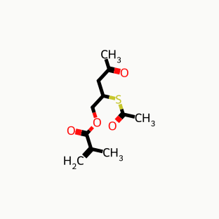 C=C(C)C(=O)OCC(CC(C)=O)SC(C)=O